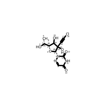 C[C@@H](O)[C@H]1O[C@@H](n2ncc(=O)[nH]c2=O)C(O)(C#CCl)C1O